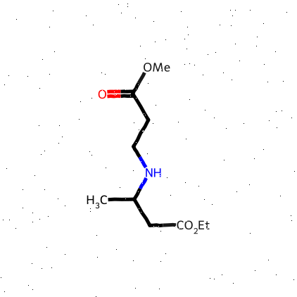 CCOC(=O)CC(C)NCCC(=O)OC